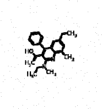 C=C(O)c1c(N(C)CC)nc2c(C)cc(CC)cc2c1-c1ccccc1